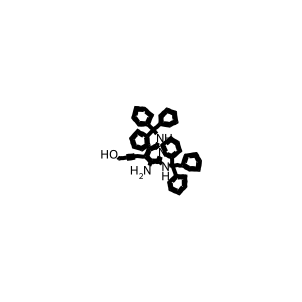 Nc1c(C#CCO)cc(NC(c2ccccc2)(c2ccccc2)c2ccccc2)nc1NC(c1ccccc1)(c1ccccc1)c1ccccc1